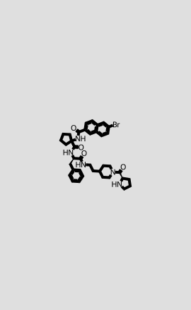 O=C(NC1(C(=O)N[C@H](Cc2ccccc2)C(=O)NCCC2CCN(C(=O)[C@H]3CCCN3)CC2)CCCC1)c1ccc2cc(Br)ccc2c1